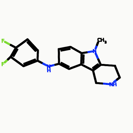 Cn1c2c(c3cc(Nc4ccc(F)c(F)c4)ccc31)CNCC2